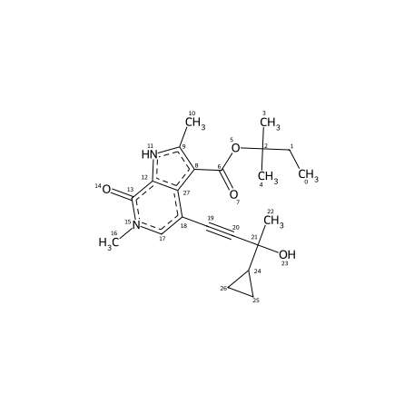 CCC(C)(C)OC(=O)c1c(C)[nH]c2c(=O)n(C)cc(C#CC(C)(O)C3CC3)c12